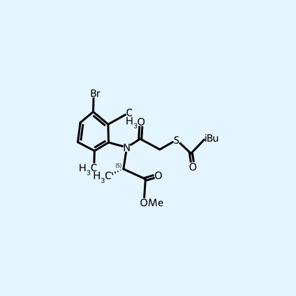 CCC(C)C(=O)SCC(=O)N(c1c(C)ccc(Br)c1C)[C@@H](C)C(=O)OC